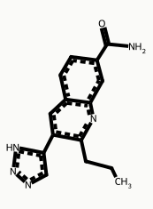 CCCc1nc2cc(C(N)=O)ccc2cc1-c1cnn[nH]1